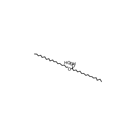 CCCCCCCCCCCCCCCCCCOC(=O)CCCCCCCCCCCCCCC.OO